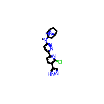 CN(c1ccc(-c2ccc(-c3cn[nH]c3)c(Cl)n2)nn1)C1CC2CCC(C1)N2